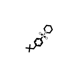 CC(C)(C)Cc1ccc(S(=O)(=O)N2CCCCC2)cc1